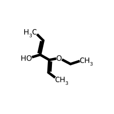 CC=C(O)C(=CC)OCC